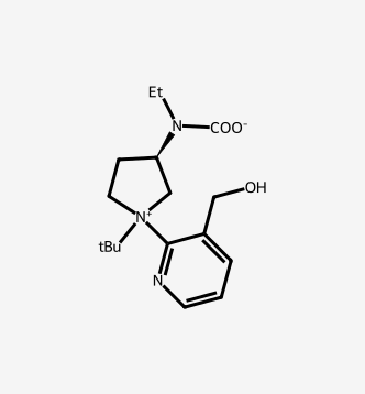 CCN(C(=O)[O-])[C@@H]1CC[N+](c2ncccc2CO)(C(C)(C)C)C1